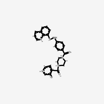 O=C(c1ccc(NSc2cccc3cccnc23)cc1)N1CCN(C(=O)c2ccncc2F)CC1